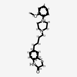 COc1ccccc1N1CCN(CCCCc2ccc3c(c2)SCC(=O)N3)CC1